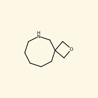 C1CCNCC2(CC1)COC2